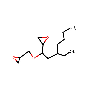 CCCCC(CC)CC(OCC1CO1)C1CO1